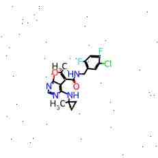 Cc1oc2ncnc(NC3(C)CC3)c2c1C(=O)NCc1cc(Cl)c(F)cc1F